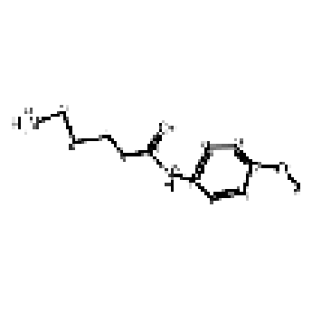 COc1ccc(NC(=O)CCCCN)cc1